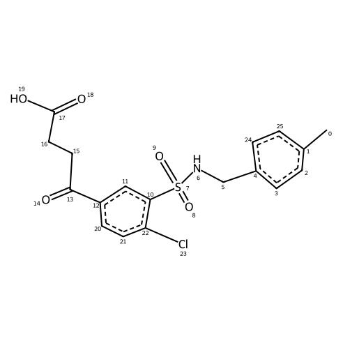 Cc1ccc(CNS(=O)(=O)c2cc(C(=O)CCC(=O)O)ccc2Cl)cc1